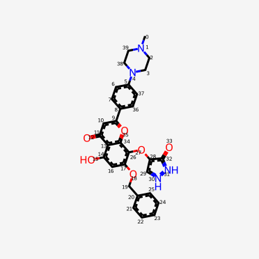 CN1CCN(c2ccc(-c3cc(=O)c4c(O)cc(OCc5ccccc5)c(Oc5c[nH][nH]c5=O)c4o3)cc2)CC1